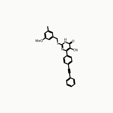 COc1cc(C)cc(CSc2nc(-c3ccc(C#Cc4ccccc4)cc3)c(C#N)c(=O)[nH]2)c1